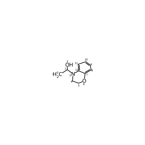 [CH2]C(O)N1CCOc2ccccc21